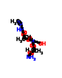 CN1CCN(CCCNCCC(=O)OCCC(C)(C)CCOC(=O)CCN(CCCCCO)CCC(=O)OCCC(C)(C)CCOC(=O)CCN)CC1